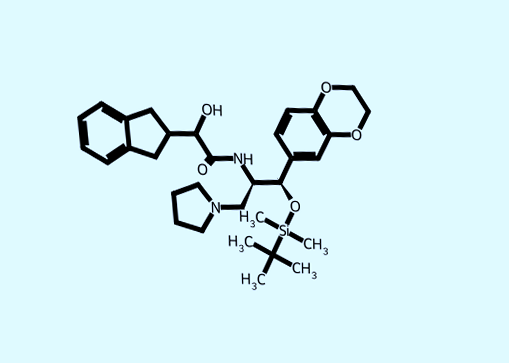 CC(C)(C)[Si](C)(C)O[C@H](c1ccc2c(c1)OCCO2)[C@@H](CN1CCCC1)NC(=O)C(O)C1Cc2ccccc2C1